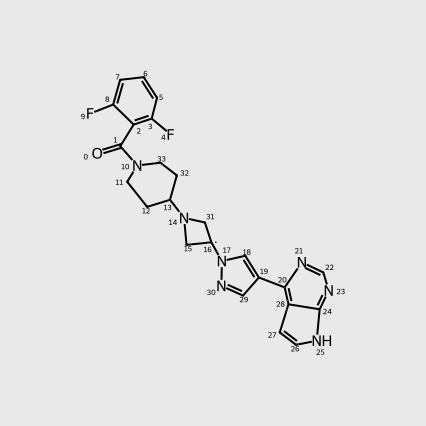 O=C(c1c(F)cccc1F)N1CCC(N2C[C](n3cc(-c4ncnc5[nH]ccc45)cn3)C2)CC1